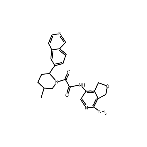 CC1CCC(c2ccc3cnccc3c2)N(C(=O)C(=O)Nc2cnc(N)c3c2COC3)C1